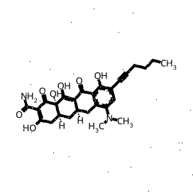 CCCCC#Cc1cc(N(C)C)c2c(c1O)C(=O)C1=C(O)[C@]3(O)C(=O)C(C(N)=O)=C(O)C[C@@H]3C[C@@H]1C2